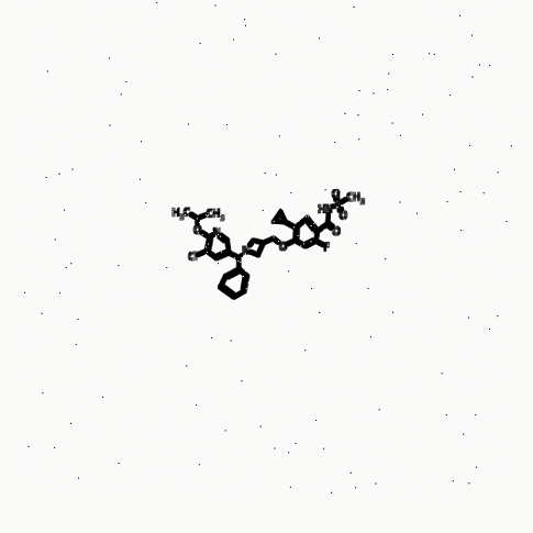 CC(C)Oc1ncc([C@@H](c2ccccc2)N2CC(COc3cc(F)c(C(=O)NS(C)(=O)=O)cc3C3CC3)C2)cc1Cl